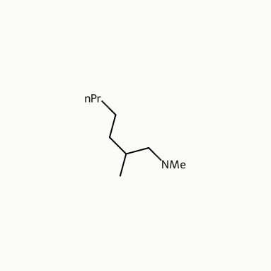 CCCCCC(C)CNC